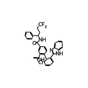 C=C(O)c1cc(C(=O)NC(CCC(F)(F)F)c2ccccc2)ccc1C1C(c2nc3ccccc3[nH]2)=CC=C[C@@H]1Cl